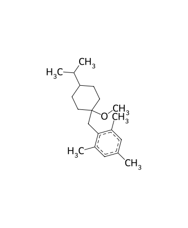 COC1(Cc2c(C)cc(C)cc2C)CCC(C(C)C)CC1